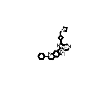 N[N+]12C=CN=CC1=C(C1CC(CN3CCC3)C1)N=C2c1cc2nc(-c3ccccc3)ccc2cc1Cl